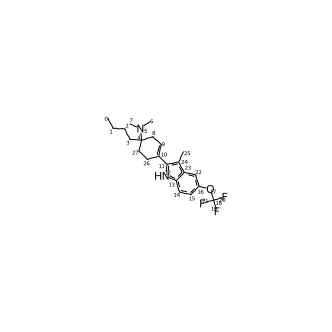 CCCCC1(N(C)C)CC=C(c2[nH]c3ccc(OC(F)(F)F)cc3c2C)CC1